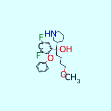 COCCCC[C@@](O)(c1cc(F)cc(F)c1Oc1ccccc1)C1CCCNC1